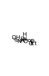 CCS(=O)(=O)c1ccc(CC(=O)Nc2nc3c(s2)CN(Cc2ccc(CO)cc2)C3)cc1